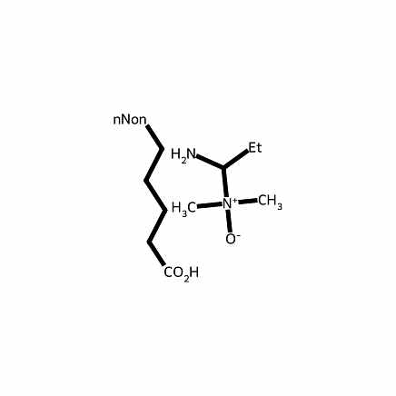 CCC(N)[N+](C)(C)[O-].CCCCCCCCCCCCCC(=O)O